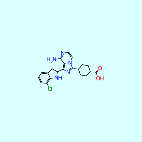 Nc1nccn2c1c(C1Cc3cccc(Cl)c3N1)nc2[C@H]1CC[C@@H](C(=O)O)CC1